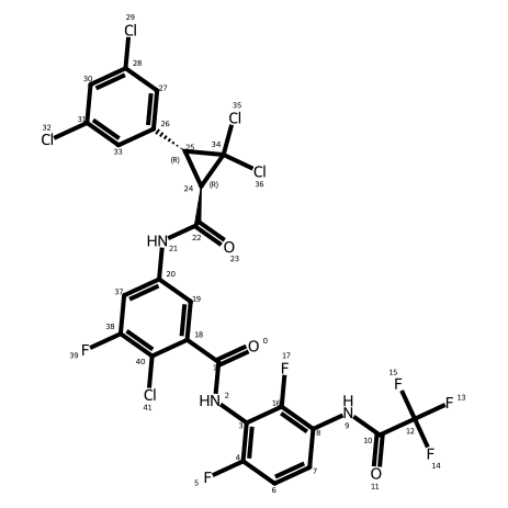 O=C(Nc1c(F)ccc(NC(=O)C(F)(F)F)c1F)c1cc(NC(=O)[C@H]2[C@H](c3cc(Cl)cc(Cl)c3)C2(Cl)Cl)cc(F)c1Cl